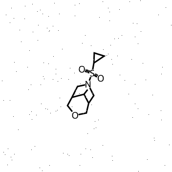 CC1C2COCC1CN(S(=O)(=O)C1CC1)C2